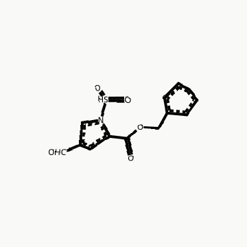 O=Cc1cc(C(=O)OCc2ccccc2)n([SH](=O)=O)c1